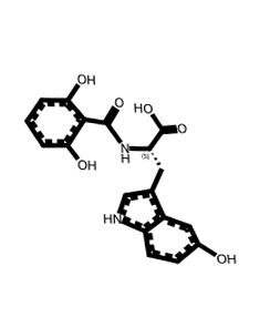 O=C(N[C@@H](Cc1c[nH]c2ccc(O)cc12)C(=O)O)c1c(O)cccc1O